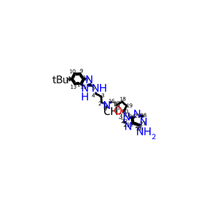 CN(CCCNc1nc2ccc(C(C)(C)C)cc2[nH]1)C[C@@H]1CCC(n2cnc3c(N)ncnc32)O1